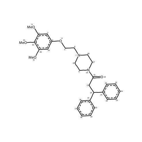 COc1cc(OCCN2CCN(C(=O)CC(c3ccccc3)c3ccccc3)CC2)cc(OC)c1OC